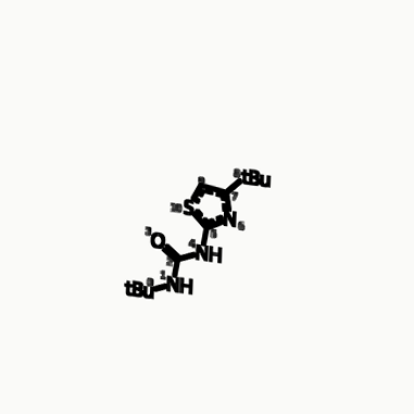 CC(C)(C)NC(=O)Nc1nc(C(C)(C)C)cs1